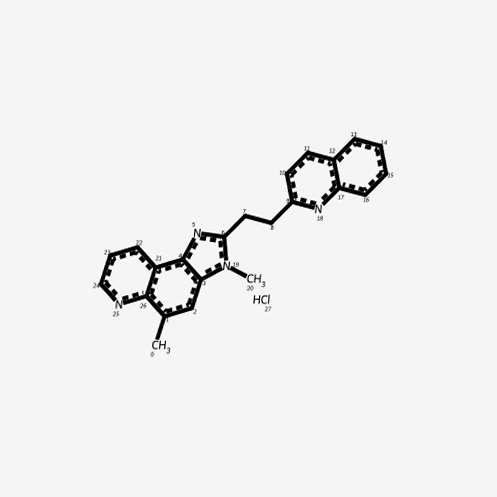 Cc1cc2c(nc(CCc3ccc4ccccc4n3)n2C)c2cccnc12.Cl